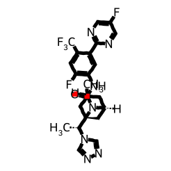 C[C@H]1C[C@H]2C[C@@]([C@@H](C)n3cnnc3)(C1)N2C(=O)Nc1cc(-c2ncc(F)cn2)c(C(F)(F)F)cc1F